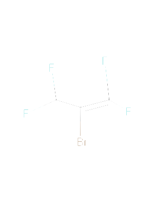 FC(F)=C(Br)C(F)F